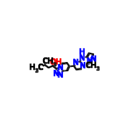 CC(C)CC(O)c1nnc2cc(-c3ccnc(Nc4ccnn4C)n3)ccn12